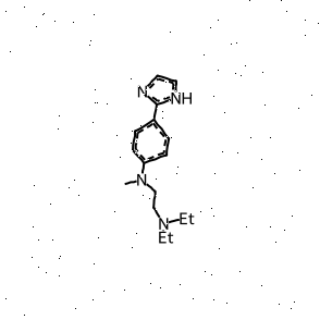 CCN(CC)CCN(C)c1ccc(-c2ncc[nH]2)cc1